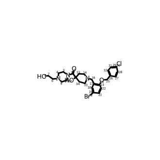 O=C(N1CCN(CCO)CC1)C1(O)CCN(Cc2cc(Br)ccc2OCc2ccc(Cl)cc2)CC1